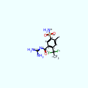 Cc1cc(C(F)(F)C(F)(F)F)c(C(=O)N=C(N)N)cc1S(N)(=O)=O